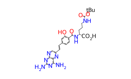 CC(C)(C)OC(=O)NCCCC(NC(=O)c1ccc(/C=C/c2cnc3nc(N)nc(N)c3n2)cc1O)C(=O)O